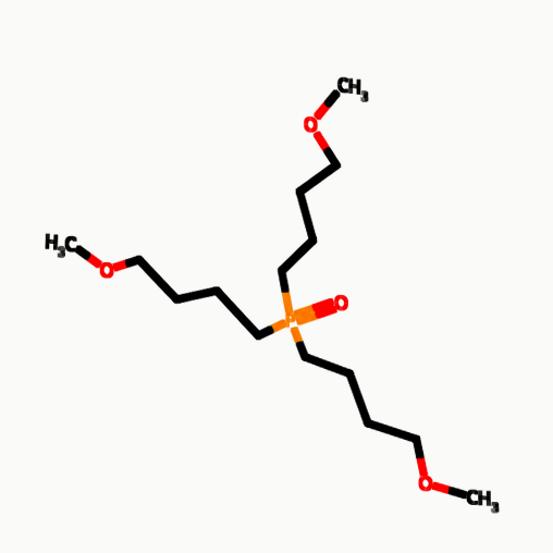 COCCCCP(=O)(CCCCOC)CCCCOC